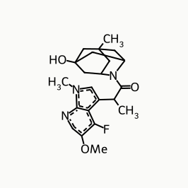 COc1cnc2c(c(C(C)C(=O)N3C4CC5(C)CC3CC(O)(C4)C5)cn2C)c1F